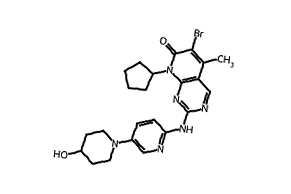 Cc1c(Br)c(=O)n(C2CCCC2)c2nc(Nc3ccc(N4CCC(O)CC4)cn3)ncc12